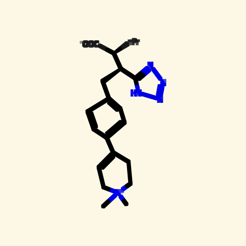 CCC[C@H](C(=O)[O-])[C@H](Cc1ccc(C2=CC[N+](C)(C)CC2)cc1)c1nnn[nH]1